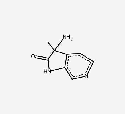 CC1(N)C(=O)Nc2cnccc21